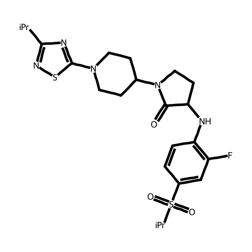 CC(C)c1nsc(N2CCC(N3CCC(Nc4ccc(S(=O)(=O)C(C)C)cc4F)C3=O)CC2)n1